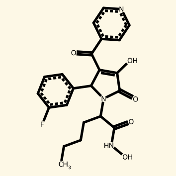 CCCCC(C(=O)NO)N1C(=O)C(O)=C(C(=O)c2ccncc2)C1c1cccc(F)c1